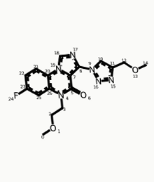 COCCn1c(=O)c2c(-n3cc(COC)nn3)ncn2c2ccc(F)cc21